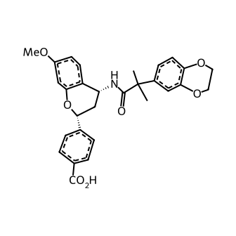 COc1ccc2c(c1)O[C@@H](c1ccc(C(=O)O)cc1)C[C@H]2NC(=O)C(C)(C)c1ccc2c(c1)OCCO2